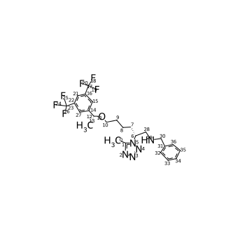 Cc1nnnn1[C@H](CCCCO[C@H](C)c1cc(C(F)(F)F)cc(C(F)(F)F)c1)CNCc1ccccc1